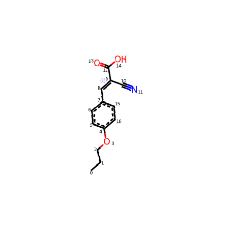 CCCOc1ccc(/C=C(\C#N)C(=O)O)cc1